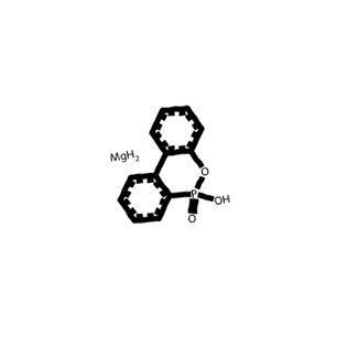 O=P1(O)Oc2ccccc2-c2ccccc21.[MgH2]